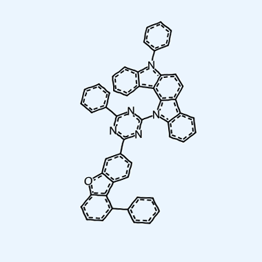 c1ccc(-c2nc(-c3ccc4c(c3)oc3cccc(-c5ccccc5)c34)nc(-n3c4ccccc4c4ccc5c(c6ccccc6n5-c5ccccc5)c43)n2)cc1